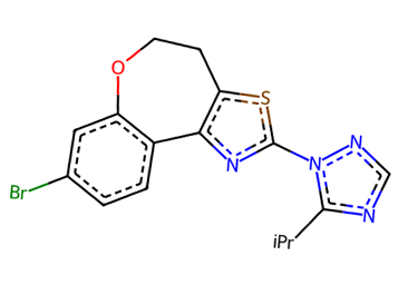 CC(C)c1ncnn1-c1nc2c(s1)CCOc1cc(Br)ccc1-2